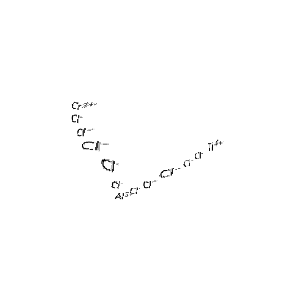 [Al+3].[Cl-].[Cl-].[Cl-].[Cl-].[Cl-].[Cl-].[Cl-].[Cl-].[Cl-].[Cl-].[Cr+3].[Ti+4]